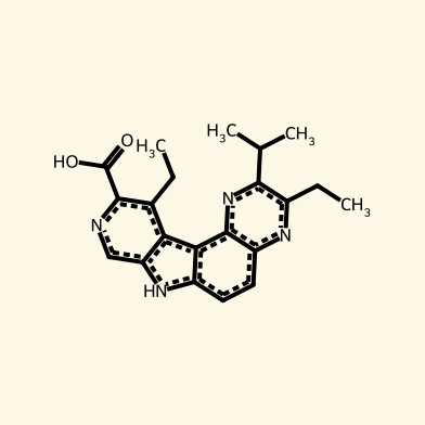 CCc1nc2ccc3[nH]c4cnc(C(=O)O)c(CC)c4c3c2nc1C(C)C